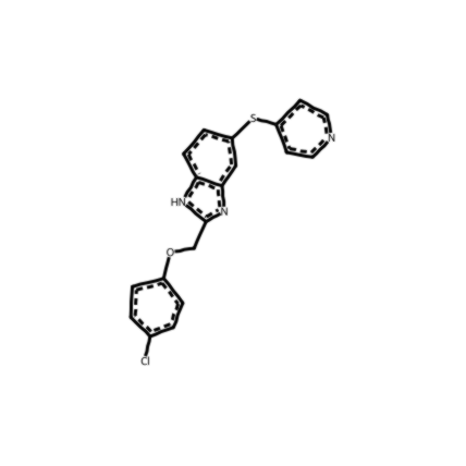 Clc1ccc(OCc2nc3cc(Sc4ccncc4)ccc3[nH]2)cc1